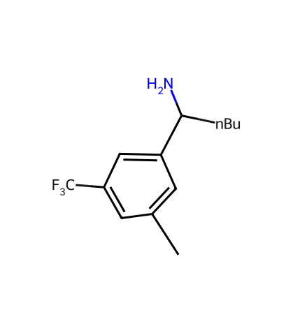 CCCCC(N)c1cc(C)cc(C(F)(F)F)c1